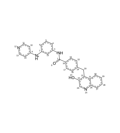 O=C(Nc1cccc(Nc2ccncc2)c1)c1ccc(Cc2c(O)cnc3ccccc23)cc1